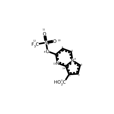 O=C(O)c1ccn2ccc(OS(=O)(=O)C(F)(F)F)nc12